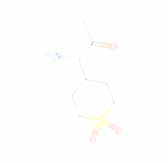 CC(=O)[C@@H](N)C1CCS(=O)(=O)CC1